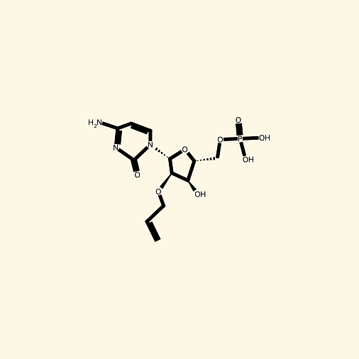 C=CCO[C@@H]1[C@H](O)[C@@H](COP(=O)(O)O)O[C@H]1n1ccc(N)nc1=O